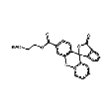 CCCCCCCCCCCCOC(=O)c1ccc2c(c1)Oc1ccccc1C21OC(=O)c2ccccc21